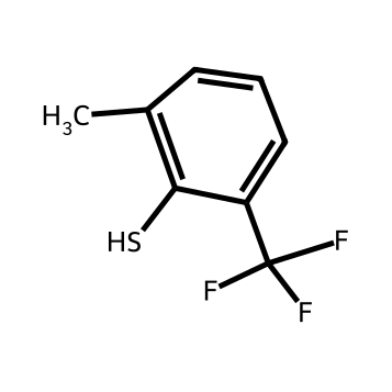 Cc1cccc(C(F)(F)F)c1S